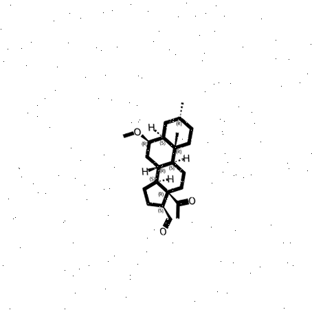 CO[C@@H]1C[C@@H]2[C@H](CC[C@]3(C(C)=O)[C@@H](C=O)CC[C@@H]23)[C@@]2(C)CC[C@@H](C)C[C@H]12